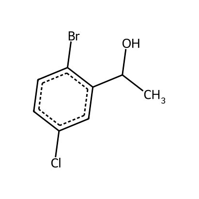 CC(O)c1cc(Cl)ccc1Br